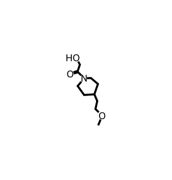 COCCC1CCN(C(=O)CO)CC1